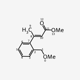 COCc1ccccc1C(C)=CC(=O)OC